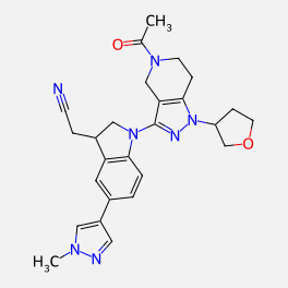 CC(=O)N1CCc2c(c(N3CC(CC#N)c4cc(-c5cnn(C)c5)ccc43)nn2C2CCOC2)C1